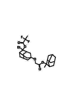 CCC1(OC(=O)C(C)(F)F)C2CC3CC1CC(OCC(=O)OC1(C)C4CC5CC(C4)CC1C5)(C3)C2